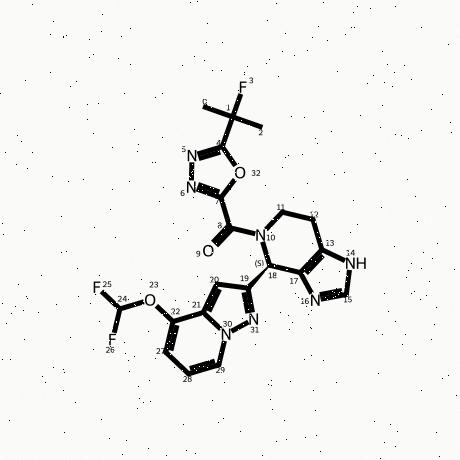 CC(C)(F)c1nnc(C(=O)N2CCc3[nH]cnc3[C@H]2c2cc3c(OC(F)F)cccn3n2)o1